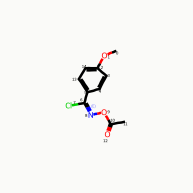 COc1ccc(/C(Cl)=N\OC(C)=O)cc1